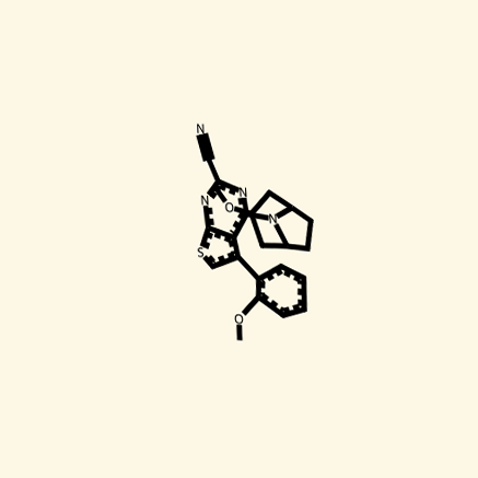 COc1ccccc1-c1csc2nc(C#N)nc(N3C4CCC3CC(OC)C4)c12